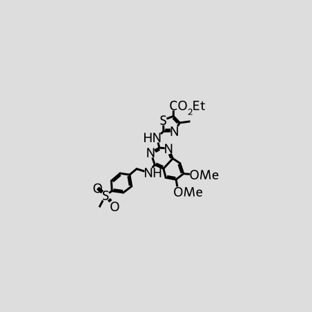 CCOC(=O)c1sc(Nc2nc(NCc3ccc(S(C)(=O)=O)cc3)c3cc(OC)c(OC)cc3n2)nc1C